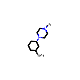 CNC1CCC[C@@H](N2CCN(C(C)C)CC2)C1